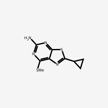 CSc1nc(N)nc2sc(C3CC3)nc12